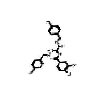 O=C(N=C(NN=Cc1ccc(Cl)cc1)NN=Cc1ccc(Cl)cc1)c1ccc(Cl)c(Br)c1